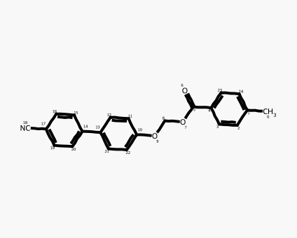 Cc1ccc(C(=O)OCOc2ccc(-c3ccc(C#N)cc3)cc2)cc1